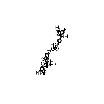 CC(O)(CS(=O)(=O)c1ccc(OCCOCC(=O)NCc2ccc(-c3[nH]c4cc(F)cc5c4c3CCNC5=O)cc2)cc1)C(=O)Nc1ccc(C#N)c(C(F)(F)F)c1